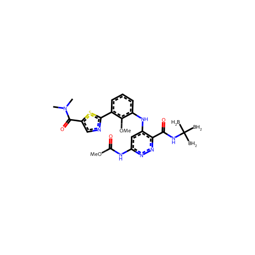 BC(B)(B)NC(=O)c1nnc(NC(=O)OC)cc1Nc1cccc(-c2ncc(C(=O)N(C)C)s2)c1OC